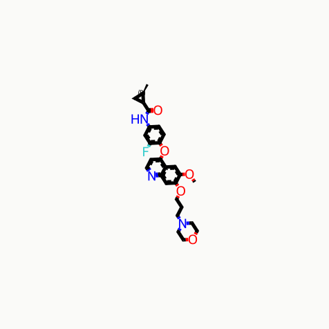 COc1cc2c(Oc3ccc(NC(=O)C4C[C@H]4C)cc3F)ccnc2cc1OCCCN1CCOCC1